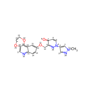 Cn1cc(-n2ccc(=O)c(COc3ccc4ncc5c(c4c3)OCCO5)n2)cn1